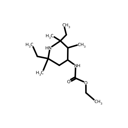 CCOC(=O)NC1CC(C)(CC)NC(C)(CC)C1C